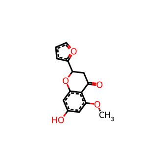 COc1cc(O)cc2c1C(=O)CC(c1ccco1)O2